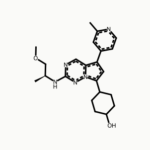 COC[C@H](C)Nc1ncc2c(-c3ccnc(C)c3)cc(C3CCC(O)CC3)n2n1